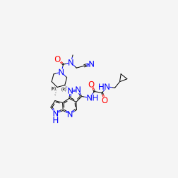 C[C@@H]1CCN(C(=O)N(C)CC#N)C[C@@H]1n1nc(NC(=O)C(=O)NCC2CC2)c2cnc3[nH]ccc3c21